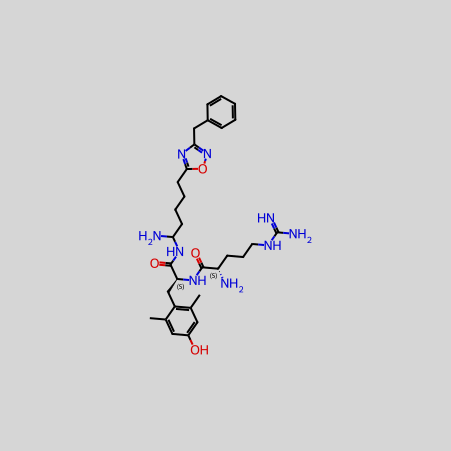 Cc1cc(O)cc(C)c1C[C@H](NC(=O)[C@@H](N)CCCNC(=N)N)C(=O)NC(N)CCCCc1nc(Cc2ccccc2)no1